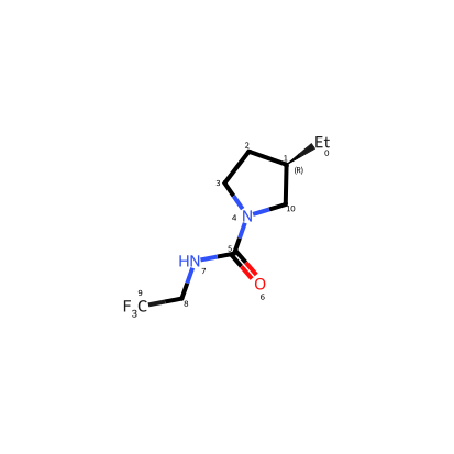 CC[C@@H]1CCN(C(=O)NCC(F)(F)F)C1